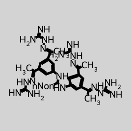 CCCCCCCCCC(Nc1cc(C(C)=NNC(=N)N)cc(C(C)=NNC(=N)N)c1)Nc1cc(C(C)=NNC(=N)N)cc(C(C)=NNC(=N)N)c1